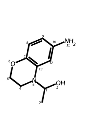 CC(O)N1CCOc2ccc(N)cc21